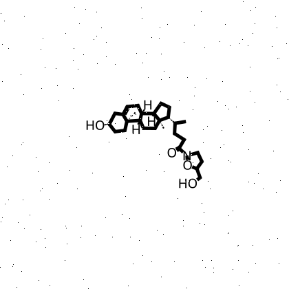 CC(CCC(=O)N1CCC(CO)O1)[C@H]1CC[C@H]2[C@@H]3CC=C4C[C@@H](O)CC[C@]4(C)[C@H]3CC[C@]12C